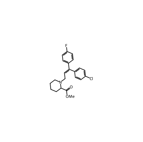 COC(=O)C1CCCCN1CC=C(c1ccc(F)cc1)c1ccc(Cl)cc1